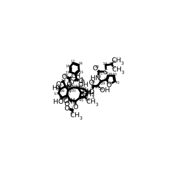 CC(=O)O[C@H]1C(=O)[C@@]2(C)[C@H]([C@H](OC(=O)c3ccccc3)[C@]3(O)C[C@H](OC(=O)[C@H](O)[C@@H](NC(=O)SCC(C)C)c4ccco4)C(C)=C1C3(C)C)[C@]1(OC(C)=O)CO[C@@H]1C[C@@H]2O